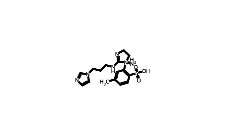 Cc1ccc(S(=O)(=O)O)c([N+]2(N)CCN=C2NCCCn2ccnc2)c1